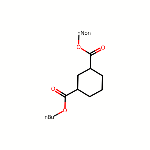 CCCCCCCCCOC(=O)C1CCCC(C(=O)OCCCC)C1